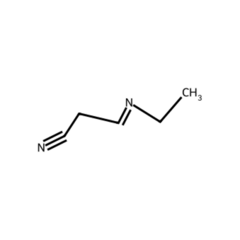 CCN=CCC#N